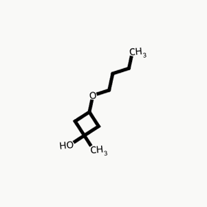 CCCCOC1CC(C)(O)C1